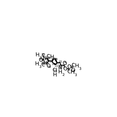 CC(=O)OC(C)OC(=O)[C@@H](N)Cc1ccc(-c2c(C)n(C)c(=O)n(C)c2=O)cc1.Cl